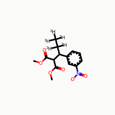 [2H]C([2H])([2H])C([2H])([2H])C(c1cccc([N+](=O)[O-])c1)C(C(=O)OC)C(=O)OC